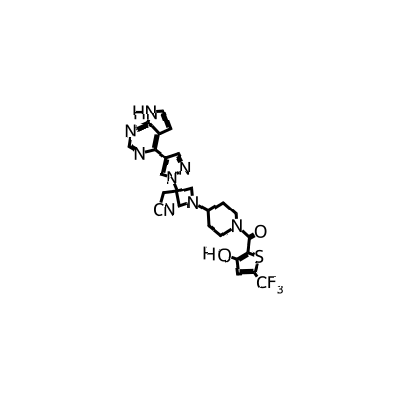 N#CCC1(n2cc(-c3ncnc4[nH]ccc34)cn2)CN(C2CCN(C(=O)c3sc(C(F)(F)F)cc3O)CC2)C1